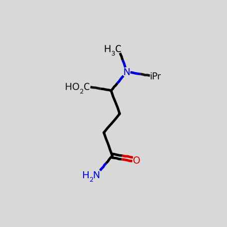 CC(C)N(C)C(CCC(N)=O)C(=O)O